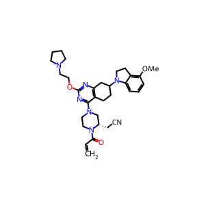 C=CC(=O)N1CCN(c2nc(OCCN3CCCC3)nc3c2CCC(N2CCc4c(OC)cccc42)C3)C[C@@H]1CC#N